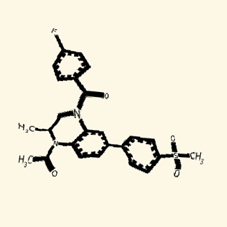 CC(=O)N1c2ccc(-c3ccc(S(C)(=O)=O)cc3)cc2N(C(=O)c2ccc(F)cc2)C[C@@H]1C